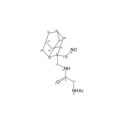 CC(=O)NCC(=O)NCC1(SN=O)C2CC3CC(C2)CC1C3